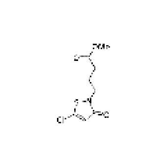 COC(=O)CCCn1sc(Cl)cc1=O